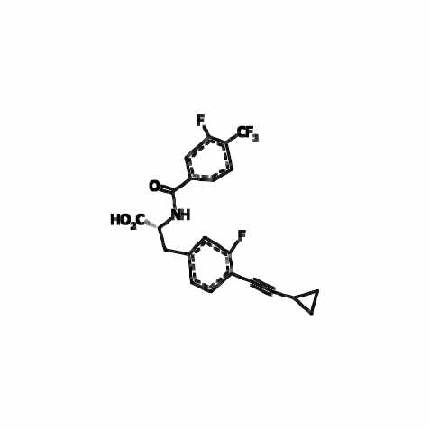 O=C(N[C@H](Cc1ccc(C#CC2CC2)c(F)c1)C(=O)O)c1ccc(C(F)(F)F)c(F)c1